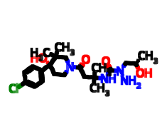 C[C@@H](O)CN(N)C(=O)NC(C)(C)CC(=O)N1CC[C@](O)(c2ccc(Cl)cc2)C(C)(C)C1